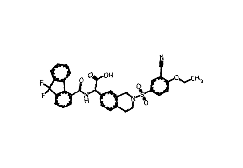 CCOc1ccc(S(=O)(=O)N2CCc3ccc(C(NC(=O)c4cccc5c4-c4ccccc4C5(F)F)C(=O)O)cc3C2)cc1C#N